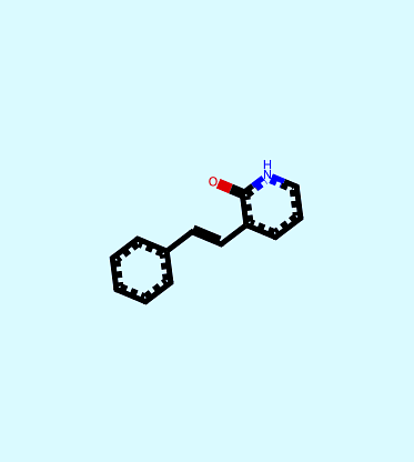 O=c1[nH]cccc1C=Cc1ccccc1